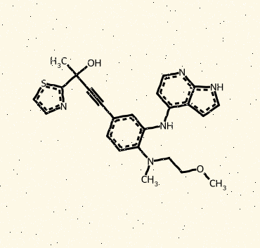 COCCN(C)c1ccc(C#CC(C)(O)c2nccs2)cc1Nc1ccnc2[nH]ccc12